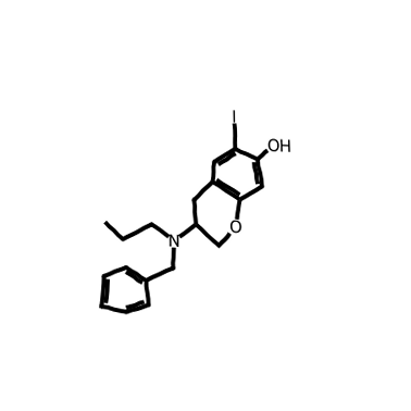 CCCN(Cc1ccccc1)C1COc2cc(O)c(I)cc2C1